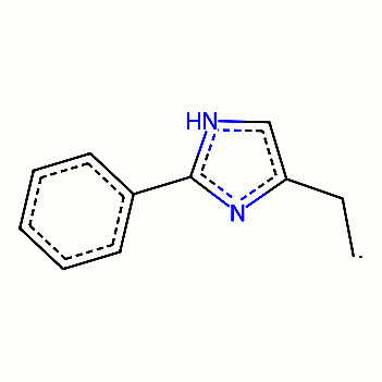 [CH2]Cc1c[nH]c(-c2ccccc2)n1